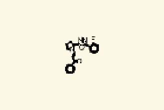 O=C(C=CN1CCCC1c1nnc(-c2ccccc2F)o1)c1ccccc1